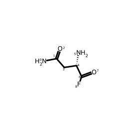 NC(=O)C[C@H](N)C(=O)F